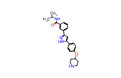 CC(C)NC(=O)c1cccc(-c2cc(-c3ccc(OC4CCNCC4)cc3)[nH]n2)c1